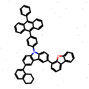 c1ccc(-c2c3ccccc3c(-c3ccc(-n4c5ccc(-c6cccc7c6CCCC7)cc5c5cc(-c6cccc7c6oc6ccccc67)ccc54)cc3)c3ccccc23)cc1